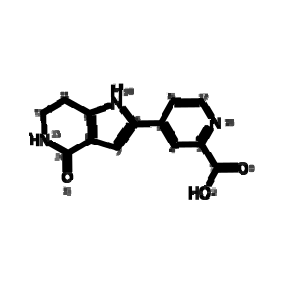 O=C(O)c1cc(-c2cc3c([nH]2)CCNC3=O)ccn1